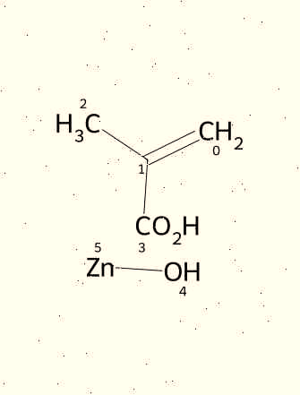 C=C(C)C(=O)O.[OH][Zn]